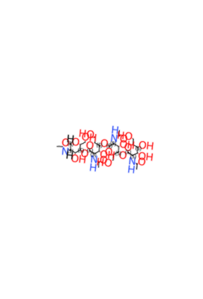 CC(=O)N[C@H]1C(O)[C@H](O)C(CO)O[C@H]1O[C@@H]1C(CO)O[C@@H](O[C@@H]2C(CO)O[C@@H](O[C@@H]3C(CO)O[C@@H]4OC(C)=N[C@H]4C3O)[C@@H](NC(C)=O)C2O)[C@@H](NC(C)=O)C1O